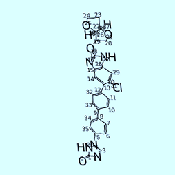 O=c1ncn(-c2ccc(-c3ccc(-c4cc5nc(OC6CO[C@@H]7CCO[C@H]67)[nH]c5cc4Cl)cc3)cc2)[nH]1